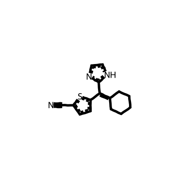 N#Cc1ccc(C(=C2CCCCC2)c2ncc[nH]2)s1